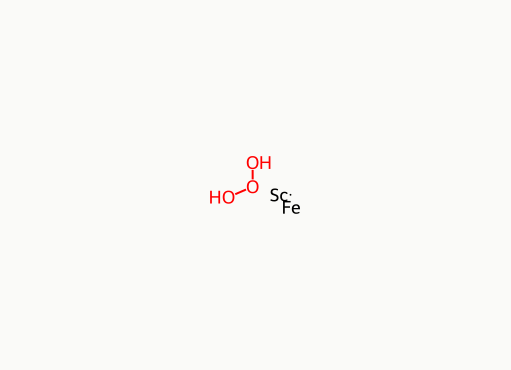 OOO.[Fe].[Sc]